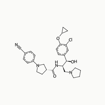 N#Cc1ccc(N2CC[C@@H](C(=O)N[C@H](CN3CCCC3)[C@H](O)c3ccc(OC4CC4)c(Cl)c3)C2)cc1